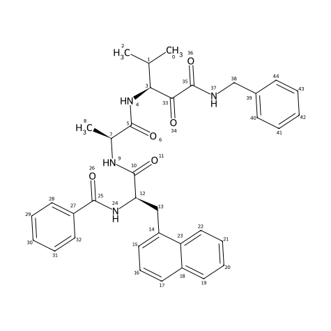 CC(C)[C@H](NC(=O)[C@H](C)NC(=O)[C@@H](Cc1cccc2ccccc12)NC(=O)c1ccccc1)C(=O)C(=O)NCc1ccccc1